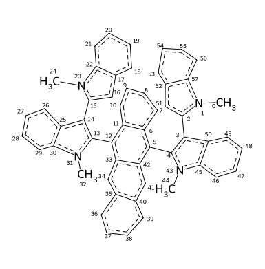 Cn1c(-c2c(-c3c4ccccc4c(-c4c(-c5cc6ccccc6n5C)c5ccccc5n4C)c4cc5ccccc5cc34)n(C)c3ccccc23)cc2ccccc21